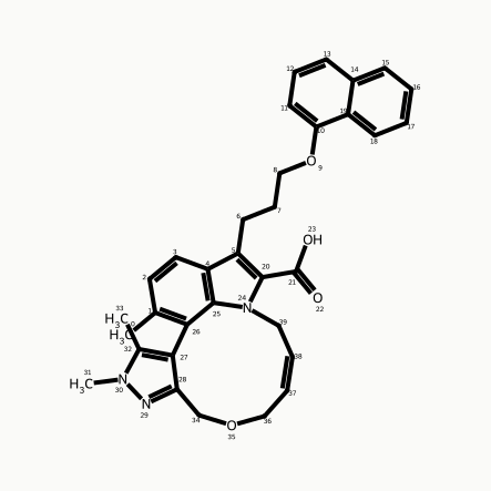 Cc1ccc2c(CCCOc3cccc4ccccc34)c(C(=O)O)n3c2c1-c1c(nn(C)c1C)COC/C=C\C3